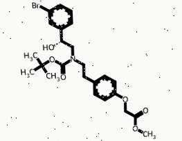 COC(=O)COc1ccc(CCN(C[C@H](O)c2cccc(Br)c2)C(=O)OC(C)(C)C)cc1